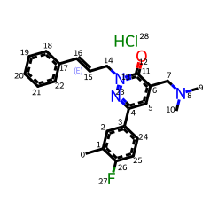 Cc1cc(-c2cc(CN(C)C)c(=O)n(C/C=C/c3ccccc3)n2)ccc1F.Cl